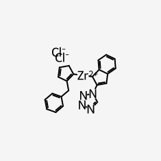 C1=CC(Cc2ccccc2)=[C]([Zr+2][CH]2C(n3cnnn3)=Cc3ccccc32)C1.[Cl-].[Cl-]